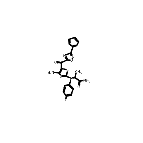 CC(C(N)=O)N(c1ccc(F)cc1)c1nc(N)c(C(=O)c2nc(-c3ccccc3)no2)s1